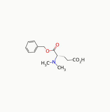 CN(C)[C@@H](CCC(=O)O)C(=O)OCc1ccccc1